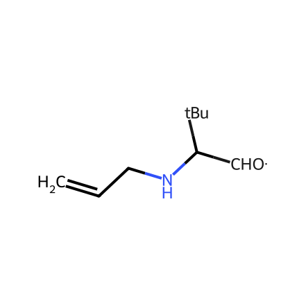 C=CCNC([C]=O)C(C)(C)C